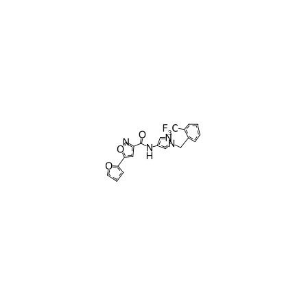 O=C(Nc1cnn(Cc2ccccc2C(F)(F)F)c1)c1cc(-c2ccco2)on1